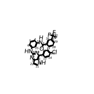 O=C(Nc1cccc(Nc2nc(-c3ccc(Cl)cc3)c3[nH]ccc3n2)c1)c1cccc(C(F)(F)F)c1